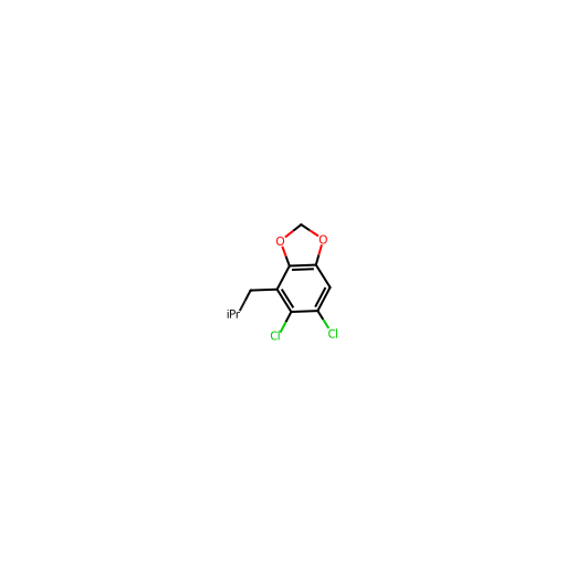 CC(C)Cc1c(Cl)c(Cl)cc2c1OCO2